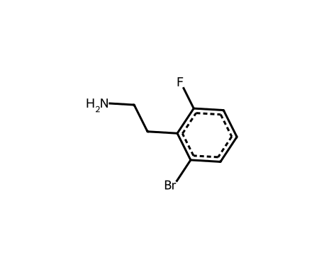 NCCc1c(F)cccc1Br